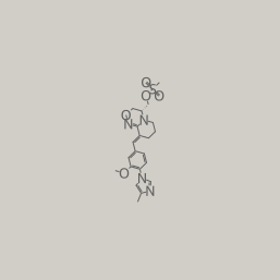 COc1cc(/C=C2\CCCN3C2=NOC[C@@H]3COS(C)(=O)=O)ccc1-n1cnc(C)c1